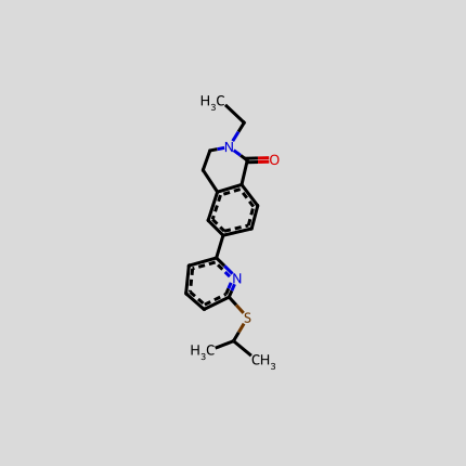 CCN1CCc2cc(-c3cccc(SC(C)C)n3)ccc2C1=O